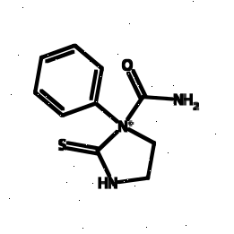 NC(=O)[N+]1(c2ccccc2)CCNC1=S